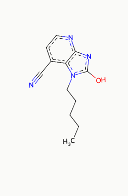 CCCCCn1c(O)nc2nccc(C#N)c21